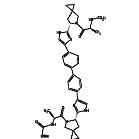 COC(=O)N[C@@H](C)C(=O)N1CC2(CC2)C[C@H]1c1nc(-c2ccc(-c3ccc(-c4c[nH]c([C@@H]5CC6(CC6)CN5C(=O)[C@H](C)NC(=O)O)n4)cc3)cc2)c[nH]1